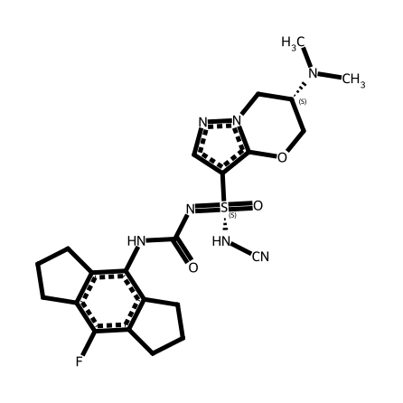 CN(C)[C@@H]1COc2c([S@@](=O)(=NC(=O)Nc3c4c(c(F)c5c3CCC5)CCC4)NC#N)cnn2C1